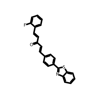 O=C(C=Cc1ccc(-c2nc3ccccc3s2)cc1)C=Cc1ccccc1F